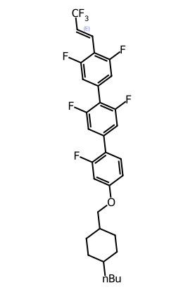 CCCCC1CCC(COc2ccc(-c3cc(F)c(-c4cc(F)c(/C=C/C(F)(F)F)c(F)c4)c(F)c3)c(F)c2)CC1